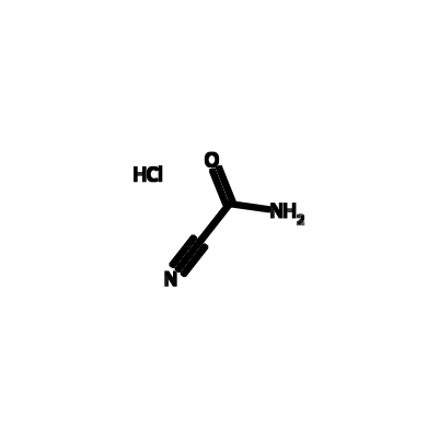 Cl.N#CC(N)=O